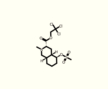 CN1C[C@H]2CCC[C@H](OS(C)(=O)=O)[C@H]2C[C@H]1C(=O)OCC(Cl)(Cl)Cl